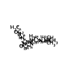 C=CC(=O)N1CCN(CCn2c(=O)ccc3cnc(Nc4ccc(N5CCN(C(C)(C)C)CC5)cc4)nc32)CC1